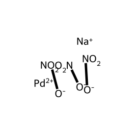 O=[N+]([O-])[O-].O=[N+]([O-])[O-].O=[N+]([O-])[O-].[Na+].[Pd+2]